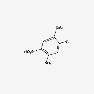 CCc1cc(N)c(S(=O)(=O)O)cc1OC